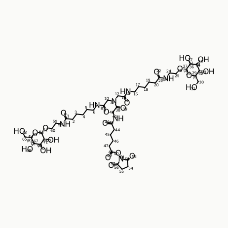 O=C(CCCCCNC(=O)CN(CC(=O)NCCCCCC(=O)NCCO[C@H]1O[C@H](CO)[C@@H](O)[C@H](O)[C@@H]1O)C(=O)CNC(=O)CCCCC(=O)ON1C(=O)CCC1=O)NCCO[C@H]1O[C@H](CO)[C@@H](O)[C@H](O)[C@@H]1O